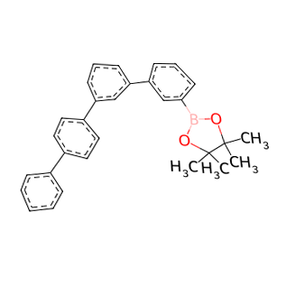 CC1(C)OB(c2cccc(-c3cccc(-c4ccc(-c5ccccc5)cc4)c3)c2)OC1(C)C